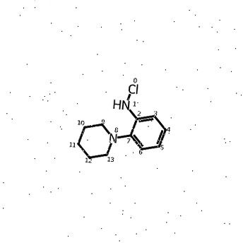 ClNc1ccccc1N1CCCCC1